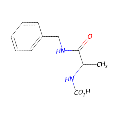 CC(NC(=O)O)C(=O)NCc1ccccc1